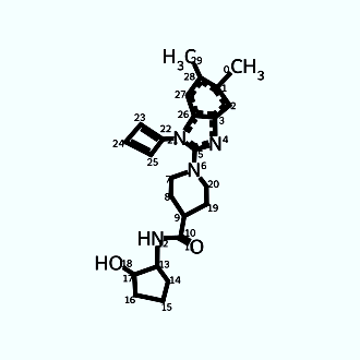 Cc1cc2nc(N3CCC(C(=O)NC4CCCC4O)CC3)n(C3=CC=C3)c2cc1C